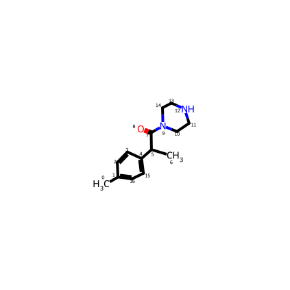 Cc1ccc(C(C)C(=O)N2CCNCC2)cc1